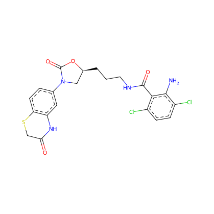 Nc1c(Cl)ccc(Cl)c1C(=O)NCCC[C@H]1CN(c2ccc3c(c2)NC(=O)CS3)C(=O)O1